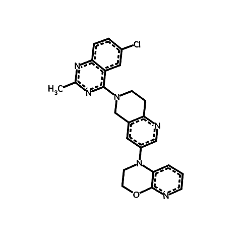 Cc1nc(N2CCc3ncc(N4CCOc5ncccc54)cc3C2)c2cc(Cl)ccc2n1